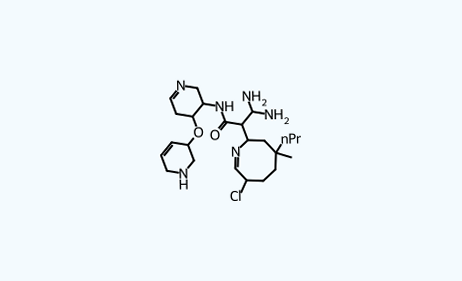 CCCC1(C)CCC(Cl)/C=N\C(C(C(=O)NC2CN=CCC2OC2C=CCNC2)C(N)N)C1